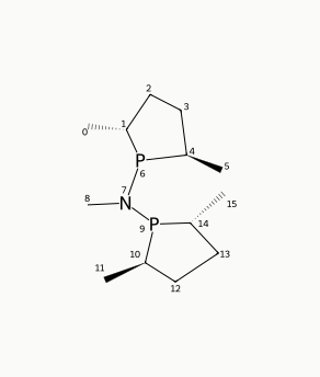 C[C@@H]1CC[C@@H](C)P1N(C)P1[C@H](C)CC[C@H]1C